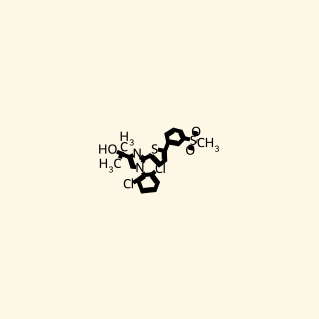 CC(C)(O)c1cn(-c2c(Cl)cccc2Cl)c(-c2ccc(-c3cccc(S(C)(=O)=O)c3)s2)n1